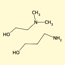 CN(C)CCO.NCCCO